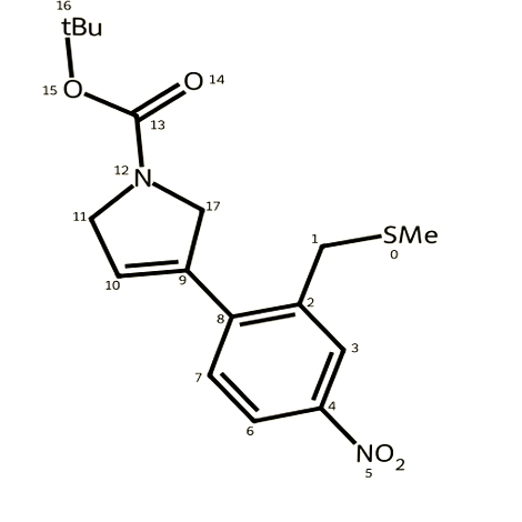 CSCc1cc([N+](=O)[O-])ccc1C1=CCN(C(=O)OC(C)(C)C)C1